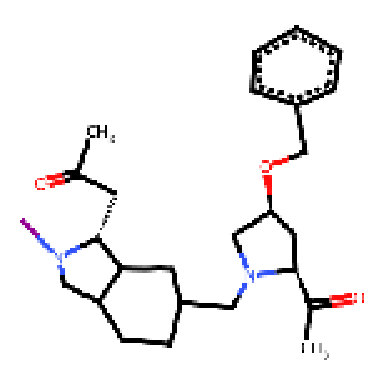 CC(=O)C[C@@H]1C2CC(CN3C[C@@H](OCc4ccccc4)C[C@H]3C(C)=O)CCC2CN1I